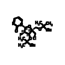 CC(C)(C)[Si](C)(C)OC[C@@]1(CCl)O[C@@H](n2cccnc2=O)[C@@H](F)[C@@H]1O[Si](C)(C)C(C)(C)C